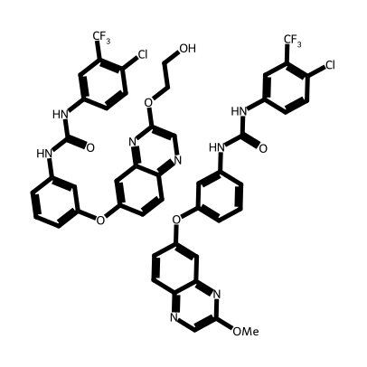 COc1cnc2ccc(Oc3cccc(NC(=O)Nc4ccc(Cl)c(C(F)(F)F)c4)c3)cc2n1.O=C(Nc1cccc(Oc2ccc3ncc(OCCO)nc3c2)c1)Nc1ccc(Cl)c(C(F)(F)F)c1